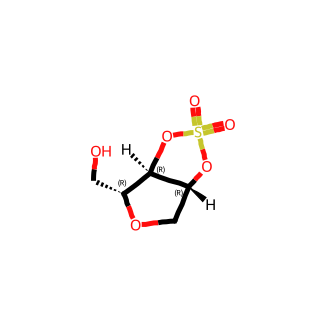 O=S1(=O)O[C@@H]2[C@@H](CO)OC[C@H]2O1